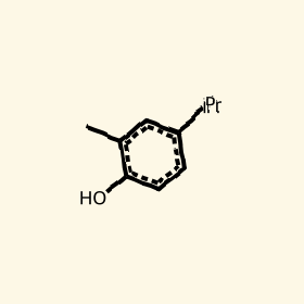 Cc1cc(C(C)C)ccc1O